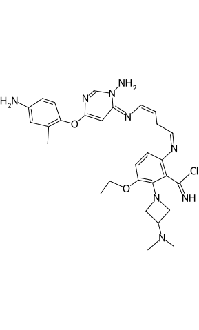 CCOc1ccc(/N=C\C/C=C\N=c2\cc(Oc3ccc(N)cc3C)ncn2N)c(C(=N)Cl)c1N1CC(N(C)C)C1